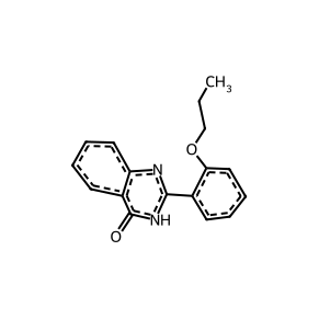 CCCOc1ccccc1-c1nc2ccccc2c(=O)[nH]1